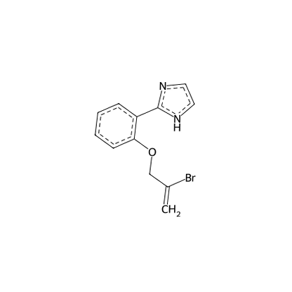 C=C(Br)COc1ccccc1-c1ncc[nH]1